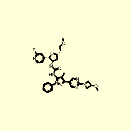 COCC[C@@H]1C[C@@H](NC(=O)Nc2c(C)c(-c3cnc(N4CC(OC)C4)nc3)nn2-c2ccccc2)[C@H](c2ccnc(F)c2)O1